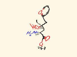 [2H]OC(=O)[C@@H](N)C[C@](C)(O)Cc1ccco1